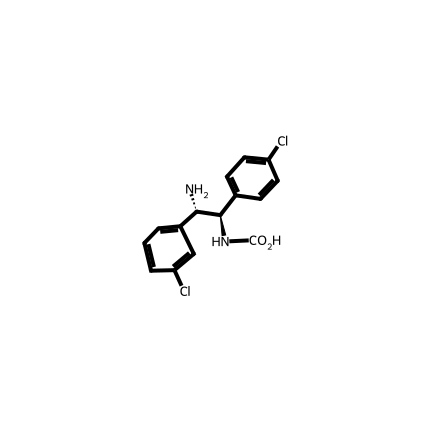 N[C@@H](c1cccc(Cl)c1)[C@H](NC(=O)O)c1ccc(Cl)cc1